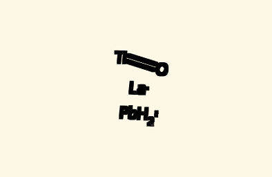 [La].[O]=[Ti].[PbH2]